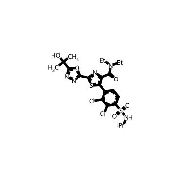 CCN(CC)C(=O)c1nc(-c2nnc(C(C)(C)O)o2)sc1-c1ccc(S(=O)(=O)NC(C)C)c(Cl)c1Cl